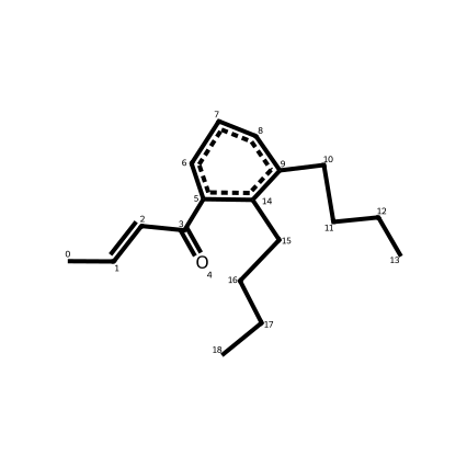 C/C=C/C(=O)c1cccc(CCCC)c1CCCC